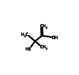 C=C(O)C(C)(C)S